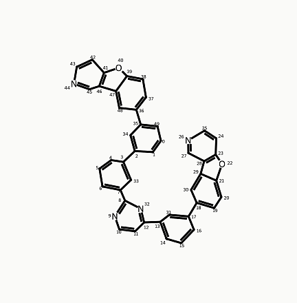 c1cc(-c2cccc(-c3nccc(-c4cccc(-c5ccc6oc7ccncc7c6c5)c4)n3)c2)cc(-c2ccc3oc4ccncc4c3c2)c1